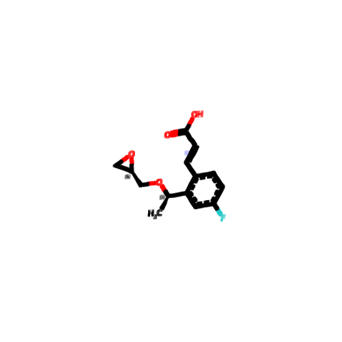 C[C@@H](OC[C@H]1CO1)c1cc(F)ccc1/C=C/C(=O)O